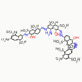 Nc1c(N=Nc2ccc3c(O)c(N=Nc4cc(S(=O)(=O)O)c5cc([N+](=O)[O-])cc(S(=O)(=O)O)c5c4)c(S(=O)(=O)O)cc3c2S(=O)(=O)O)cc(S(=O)(=O)O)c2cc(S(=O)(=O)O)c(N=Nc3ccc4c(O)c(/N=N\c5cc(S(=O)(=O)O)c6cc([N+](=O)[O-])cc(S(=O)(=O)O)c6c5)c(S(=O)(=O)O)cc4c3S(=O)(=O)O)c(O)c12